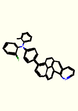 Cc1ccccc1N(c1ccc(C2=C3C=CC4=C5C(=CC=C(C=C2)C35)C2N=CC=CC2=C4)cc1)c1ccccc1F